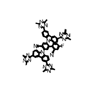 Cc1nc(C)nc(-c2ccc3c(c2)c2cc(-c4nc(C)nc(C)n4)ccc2n3-c2cc(-c3ccc(F)cc3C#N)c(-n3c4ccc(-c5nc(C)nc(C)n5)cc4c4cc(-c5nc(C)nc(C)n5)ccc43)cc2C#N)n1